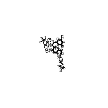 CC(C)(C)OC(=O)NC(Cc1cc(F)cc(F)c1)c1nc2ccn(COCC[Si](C)(C)C)c2cc1Br